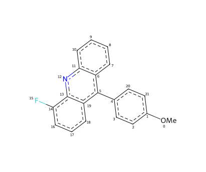 COc1ccc(-c2c3ccccc3nc3c(F)cccc23)cc1